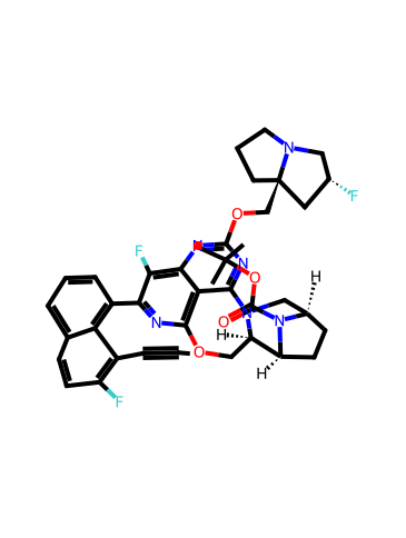 CC#Cc1c(F)ccc2cccc(-c3nc4c5c(nc(OC[C@@]67CCCN6C[C@H](F)C7)nc5c3F)N3C[C@H]5CC[C@@H]([C@H]3CO4)N5C(=O)OC(C)(C)C)c12